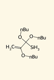 C=C(OCCCC)C([SiH3])(OCCCC)OCCCC